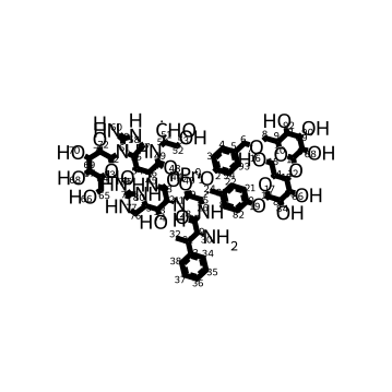 CCCOc1ccc(COCC2OC(OC3C(CO)OC(Oc4ccc(C[C@H](NC(=O)[C@@H](N)C(C)c5ccccc5)C(=O)N[C@H](C(=O)N[C@H](C(=O)N[C@H]([C]=O)CO)C(O)C5CNC(=N)N5C5OC(CO)C(O)C(O)C5O)C(O)C5CNC(=N)N5)cc4)C(O)C3O)C(O)C(O)C2O)cc1